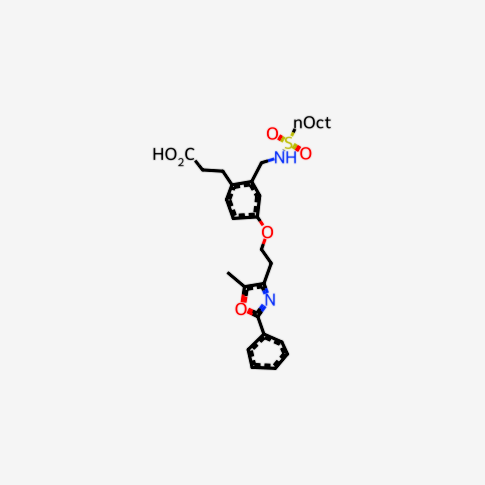 CCCCCCCCS(=O)(=O)NCc1cc(OCCc2nc(-c3ccccc3)oc2C)ccc1CCC(=O)O